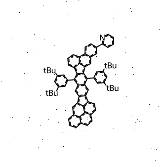 CC(C)(C)c1cc(-c2c3cc4c(cc3c(-c3cc(C(C)(C)C)cc(C(C)(C)C)c3)c3c5cc6cc(-c7ccccn7)ccc6c6cccc(c23)c65)c2ccc3ccc5cccc6cc4c2c3c56)cc(C(C)(C)C)c1